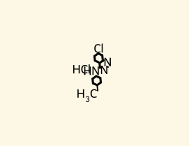 CCc1ccc(Nc2ncnc3cc(Cl)ccc23)cc1.Cl